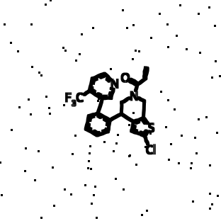 C=CC(=O)N1Cc2sc(Cl)cc2C(c2ccccc2-c2cnccc2C(F)(F)F)C1